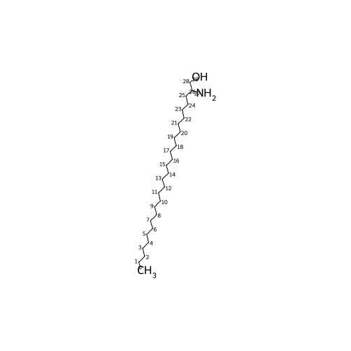 CCCCCCCCCCCCCCCCCCCCCCCCCCC(N)CO